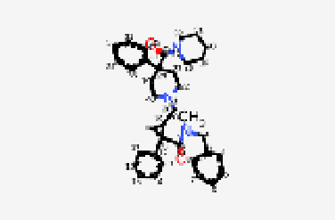 CN(Cc1ccccc1)C(=O)C1(c2ccccc2)CC1CN1CCC(C(=O)N2CCCCC2)(c2ccccc2)CC1